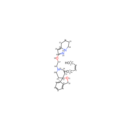 O=C(O)/C=C\C(=O)O.c1ccc2c(c1)COC21CCN(CCOc2cc3n(n2)CCCC3)CC1